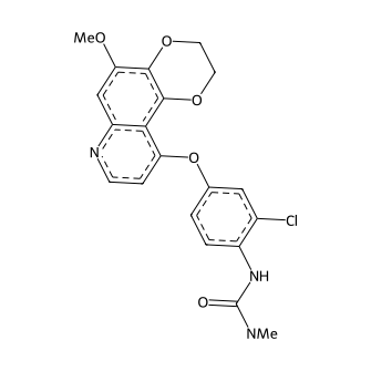 CNC(=O)Nc1ccc(Oc2ccnc3cc(OC)c4c(c23)OCCO4)cc1Cl